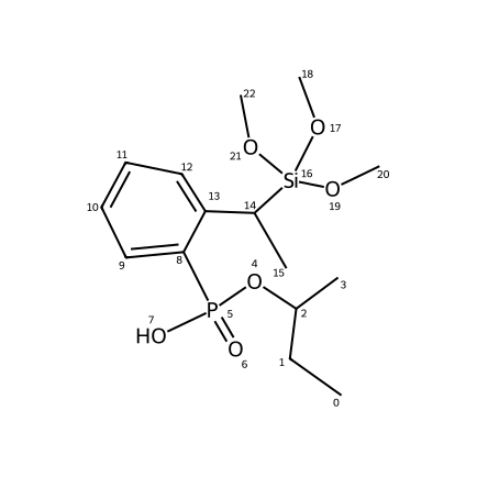 CCC(C)OP(=O)(O)c1ccccc1C(C)[Si](OC)(OC)OC